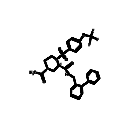 CC(=O)N1CCN(S(=O)(=O)c2ccc(OC(F)(F)F)cc2)[C@@H](C(=O)NCc2ccccc2-c2ccccc2)C1